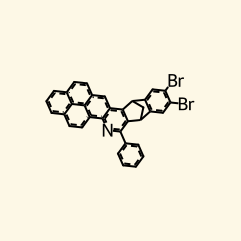 Brc1cc2c(cc1Br)C1CC2c2c(-c3ccccc3)nc3c(cc4ccc5cccc6ccc3c4c56)c21